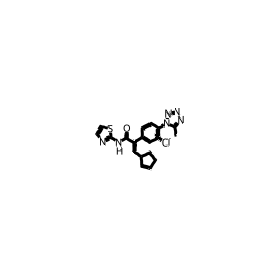 Cc1nnnn1-c1ccc(/C(=C\C2CCCC2)C(=O)Nc2nccs2)cc1Cl